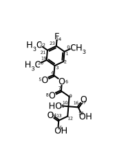 Cc1cc(C(=O)OC(=O)CC(O)(CC(=O)O)C(=O)O)c(C)c(C)c1F